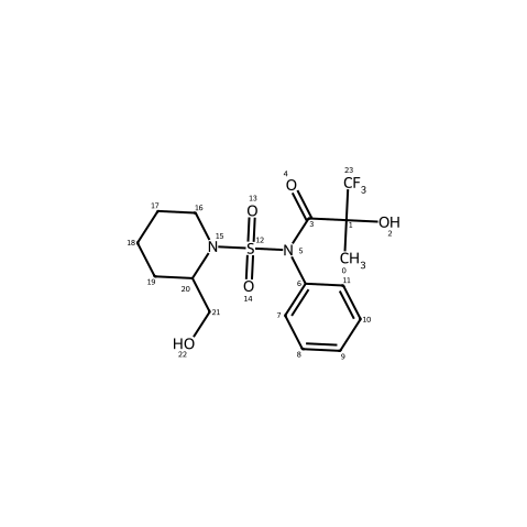 CC(O)(C(=O)N(c1ccccc1)S(=O)(=O)N1CCCCC1CO)C(F)(F)F